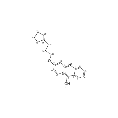 Oc1c2ccccc2nc2cc(OCCCN3CCCC3)ccc12